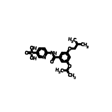 CC(C)COc1cc(OC(C)C)cc(C(=O)Nc2ccc(P(=O)(O)O)cn2)c1